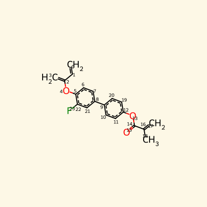 C=CC(=C)Oc1ccc(-c2ccc(OC(=O)C(=C)C)cc2)cc1F